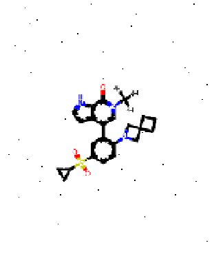 [2H]C([2H])([2H])n1cc(-c2cc(S(=O)(=O)C3CC3)ccc2N2CC3(CCC3)C2)c2cc[nH]c2c1=O